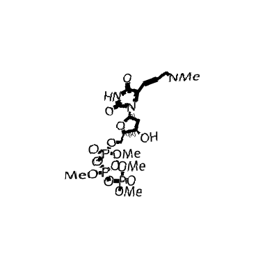 CNCC#Cc1cn([C@H]2C[C@@H](O)[C@@H](COP(=O)(OC)OP(=O)(OC)OP(=O)(OC)OC)O2)c(=O)[nH]c1=O